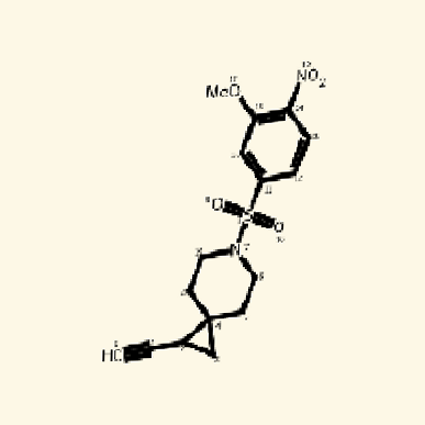 C#CC1CC12CCN(S(=O)(=O)c1ccc([N+](=O)[O-])c(OC)c1)CC2